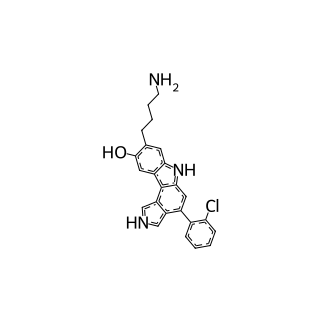 NCCCCc1cc2[nH]c3cc(-c4ccccc4Cl)c4c[nH]cc4c3c2cc1O